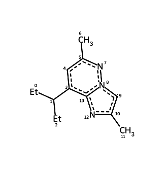 CCC(CC)c1cc(C)nn2[c]c(C)nc12